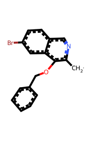 [CH2]c1ncc2ccc(Br)cc2c1OCc1ccccc1